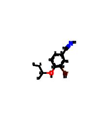 CCC(C)Oc1ccc(C#N)cc1Br